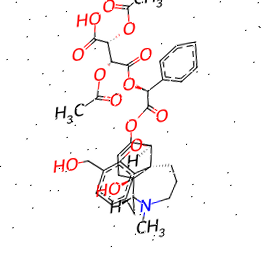 CC(=O)O[C@@H](C(=O)O)[C@@H](OC(C)=O)C(=O)O[C@H](C(=O)OC1=CC[C@@]2(O)[C@H]3Cc4ccc(CO)c5c4[C@@]2(CCCN3C)[C@H]1O5)c1ccccc1